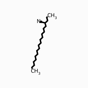 CCCCCCCCCCCCCCCCCC(C#N)CCC